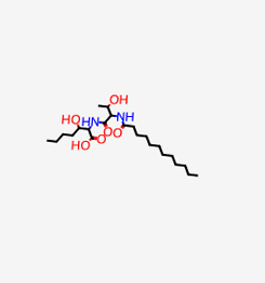 CCCCCCCCCCCC(=O)NC(C(=O)NC(C(=O)O)C(O)CCCC)C(C)O